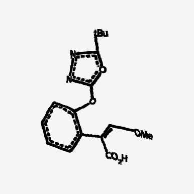 COC=C(C(=O)O)c1ccccc1Oc1nnc(C(C)(C)C)o1